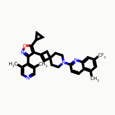 Cc1cncc(C)c1-c1noc(C2CC2)c1C1=CC2(CCN(c3ccc4c(C)cc(C(F)(F)F)cc4n3)CC2)C1